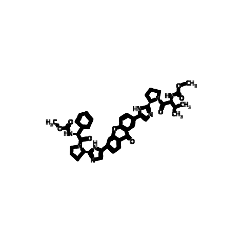 COC(=O)N[C@H](C(=O)N1CCC[C@H]1c1ncc(-c2ccc3oc4cc(-c5cnc([C@@H]6CCCN6C(=O)[C@H](NC(=O)OC)c6ccccc6)[nH]5)ccc4c(=O)c3c2)[nH]1)C(C)C